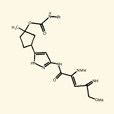 CN/C(=C\C(=N)COC)C(=O)Nc1cc(C2CCC(C)(OC(=O)NC(C)C)C2)[nH]n1